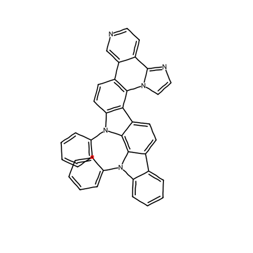 c1ccc(-n2c3ccccc3c3ccc4c5c(ccc6c7cnccc7c7nccn7c65)n(-c5ccccc5)c4c32)cc1